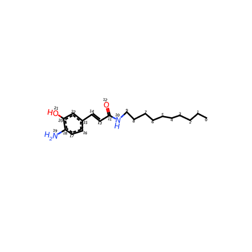 CCCCCCCCCCNC(=O)/C=C/c1ccc(N)c(O)c1